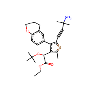 CCOC(=O)C(OC(C)(C)C)c1c(C)sc(C#CC(C)(C)N)c1-c1ccc2c(c1)CCCO2